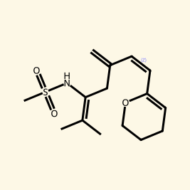 C=C(/C=C\C1=CCCCO1)CC(NS(C)(=O)=O)=C(C)C